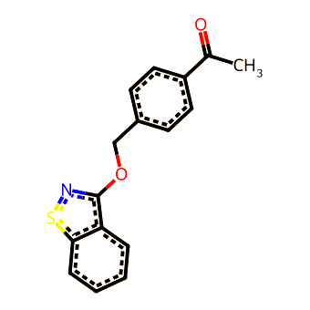 CC(=O)c1ccc(COc2nsc3ccccc23)cc1